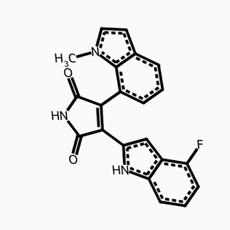 Cn1ccc2cccc(C3=C(c4cc5c(F)cccc5[nH]4)C(=O)NC3=O)c21